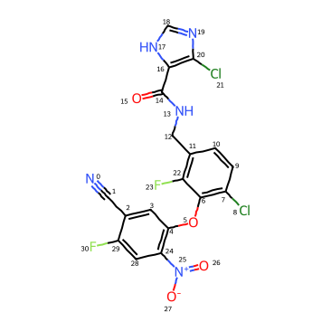 N#Cc1cc(Oc2c(Cl)ccc(CNC(=O)c3[nH]cnc3Cl)c2F)c([N+](=O)[O-])cc1F